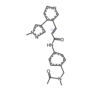 CC(=O)N(C)Cc1ccc(NC(=O)/C=C/c2cnccc2-c2cnn(C)c2)cc1